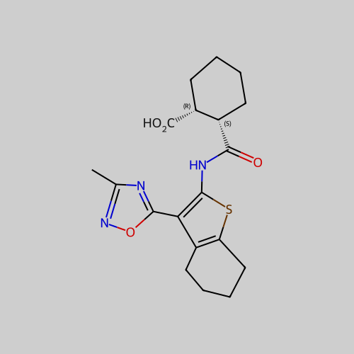 Cc1noc(-c2c(NC(=O)[C@H]3CCCC[C@H]3C(=O)O)sc3c2CCCC3)n1